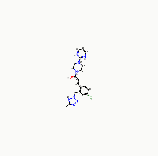 Cc1nnn(Cc2cc(Cl)ccc2C=CC(=O)N2CCN(c3ncccn3)CC2)n1